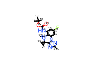 Cc1nc2n(n1)-c1cc(F)cc(NC(=O)OC(C)(C)C)c1N(C)C21CC1